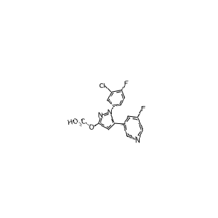 O=C(O)Oc1cc(-c2cncc(F)c2)n(-c2ccc(F)c(Cl)c2)n1